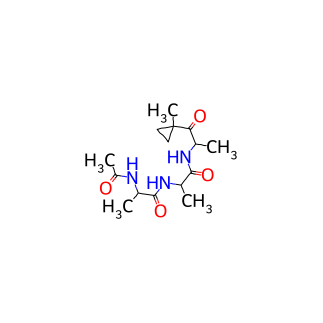 CC(=O)NC(C)C(=O)NC(C)C(=O)NC(C)C(=O)C1(C)CC1